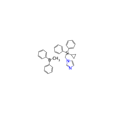 CB(c1ccccc1)c1ccccc1.c1ccc([Si](Cn2ccnc2)(c2ccccc2)C2CC2)cc1